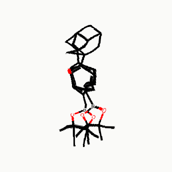 CC1(C)OB(c2ccc(C34CC5CC6(C3)CC(c3ccc(B7OC(C)(C)C(C)(C)O7)cc3)(C4)C56)cc2)OC1(C)C